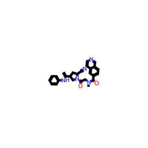 C=C(Nc1ccccc1)C1CC(C#N)N(C(=O)CN(C)C(=O)c2ccc3cnccc3c2)C1